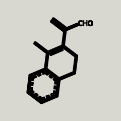 C=C(C=O)C1=C(C)c2ccccc2CC1